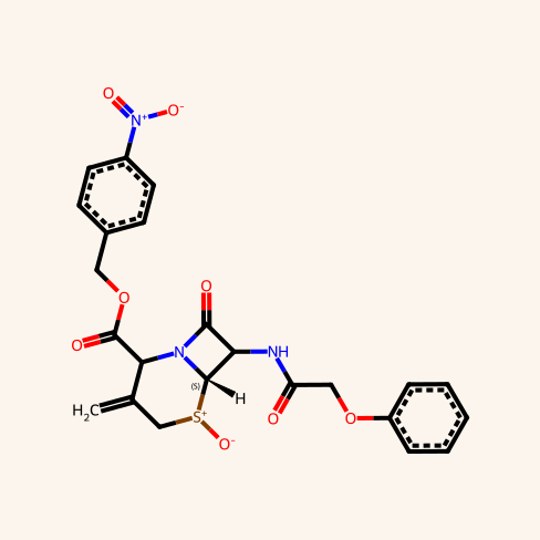 C=C1C[S+]([O-])[C@H]2C(NC(=O)COc3ccccc3)C(=O)N2C1C(=O)OCc1ccc([N+](=O)[O-])cc1